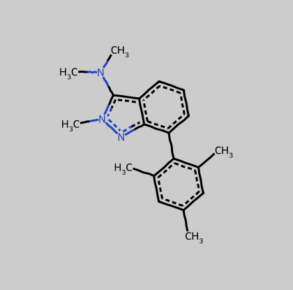 Cc1cc(C)c(-c2cccc3c(N(C)C)n(C)nc23)c(C)c1